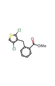 COC(=O)c1ccccc1Cc1c(Cl)csc1Cl